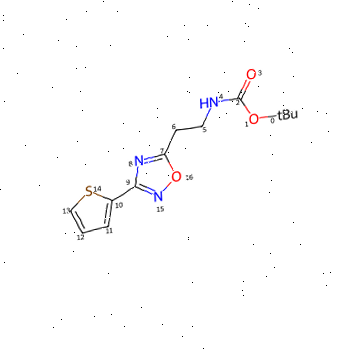 CC(C)(C)OC(=O)NCCc1nc(-c2cccs2)no1